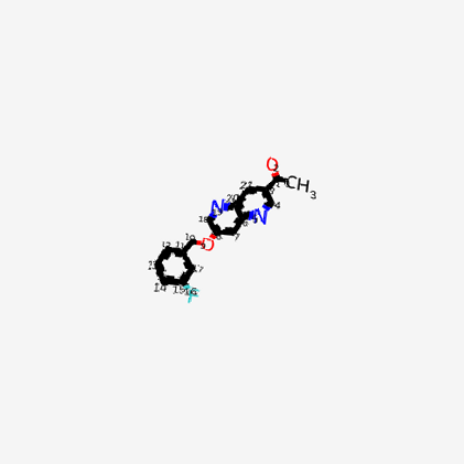 CC(=O)c1cnc2cc(OCc3cccc(F)c3)cnc2c1